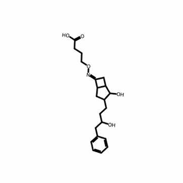 O=C(O)CCCON=C1CC2C1CC(CCC(O)Cc1ccccc1)C2O